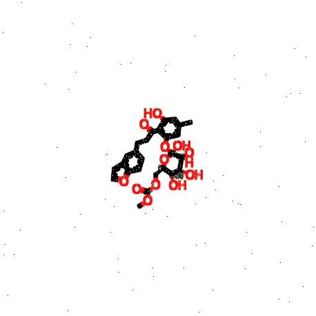 COC(=O)OC[C@H]1O[C@@](O)(Oc2cc(C)cc(O)c2C(=O)CCc2ccc3occc3c2)[C@H](O)[C@@H](O)[C@@H]1O